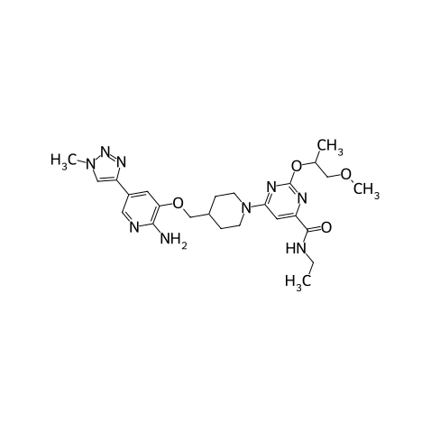 CCNC(=O)c1cc(N2CCC(COc3cc(-c4cn(C)nn4)cnc3N)CC2)nc(OC(C)COC)n1